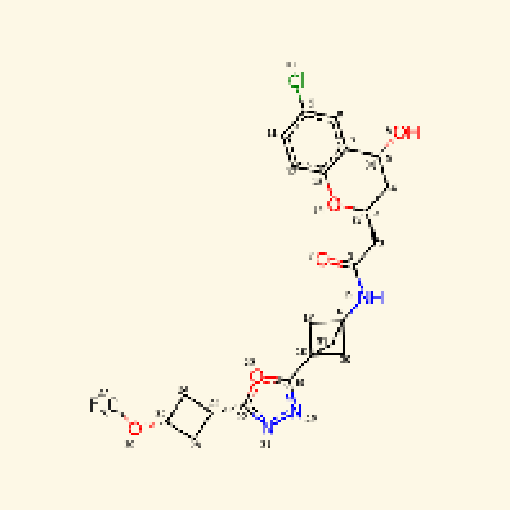 O=C(C[C@@H]1C[C@@H](O)c2cc(Cl)ccc2O1)NC12CC(c3nnc([C@H]4C[C@@H](OC(F)(F)F)C4)o3)(C1)C2